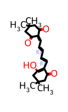 CC1(C)CC(=O)C(=C/C=C/C=C/C2=C(O)CC(C)(C)CC2=O)C(=O)C1